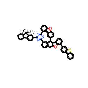 CC1(C)c2ccccc2-c2ccc(-c3nc(-c4ccccc4)nc(-c4cccc5oc6ccc(-c7cccc8oc9c(-c%10ccc%11c(c%10)sc%10ccccc%10%11)cccc9c78)cc6c45)n3)cc21